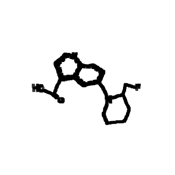 O=C(O)c1ccnc2ccc(N3CCCCC3CF)cc12